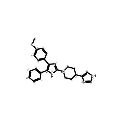 COc1ccc(-c2nc(N3CCC(c4c[nH]cn4)CC3)[nH]c2-c2ccccc2)cc1